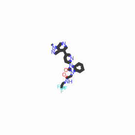 Cn1ncc2c(-c3ccc(-n4c(=O)n(CC(=O)NCC(F)(F)F)c5ccccc54)nc3)cncc21